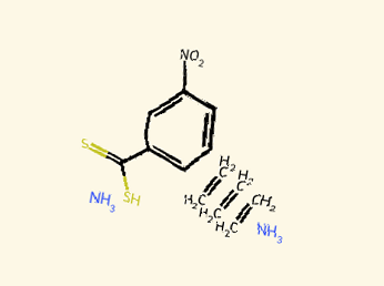 C=C.C=C.C=C.N.N.O=[N+]([O-])c1cccc(C(=S)S)c1